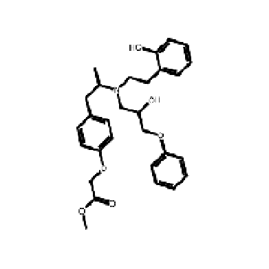 COC(=O)COc1ccc(CC(C)N(CCc2ccccc2O)CC(O)COc2ccccc2)cc1